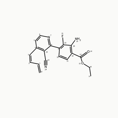 C=C/C=C\c1ccnc(-c2ccc(C(=O)OCC)c(N)c2F)c1C#N